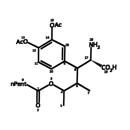 CCCCCC(=O)OC(C)C(C)C(c1ccc(OC(C)=O)c(OC(C)=O)c1)[C@H](N)C(=O)O